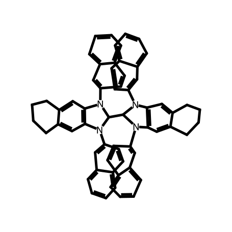 c1ccc2cc(N3c4cc5c(cc4N(c4ccc6ccccc6c4)C3C3N(c4ccc6ccccc6c4)c4cc6c(cc4N3c3ccc4ccccc4c3)CCCC6)CCCC5)ccc2c1